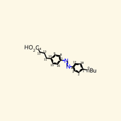 CCCCc1ccc(N=Nc2ccc(CCCC(=O)O)cc2)cc1